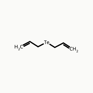 C=CC[Te]CC=C